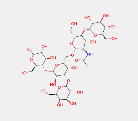 CC(=O)N[C@H]1[C@H](OC[C@H]2O[C@@H](O[C@H]3[C@H](O)[C@@H](O)C(O)O[C@@H]3CO)[C@H](O)[C@@H](O[C@@H]3O[C@H](CO)[C@H](O)[C@H](O)[C@H]3O)[C@H]2O)O[C@H](CO)[C@@H](O[C@@H]2O[C@H](CO)[C@H](O)[C@H](O)[C@H]2O)[C@@H]1O